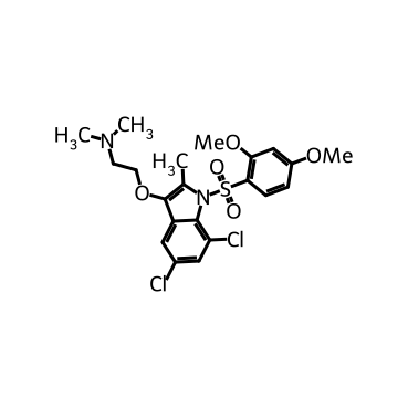 COc1ccc(S(=O)(=O)n2c(C)c(OCCN(C)C)c3cc(Cl)cc(Cl)c32)c(OC)c1